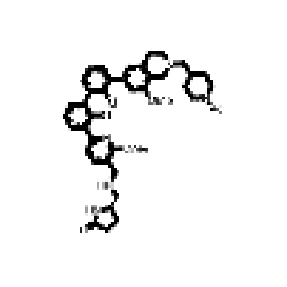 COc1cc(-c2cccc(-c3cccc(-c4ccc(CNC[C@H]5CCC(=O)N5)c(OC)n4)c3Cl)c2Cl)cc2c1CN(CC1CCN(C(C)=O)CC1)CC2